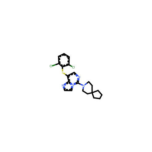 Clc1cccc(Cl)c1Sc1cnc(N2CCC3(CCCC3)CC2)n2ccnc12